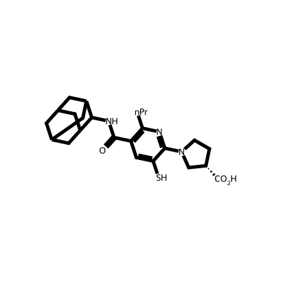 CCCc1nc(N2CC[C@H](C(=O)O)C2)c(S)cc1C(=O)NC1C2CC3CC(C2)CC1C3